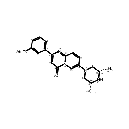 COc1cccc(-c2cc(=O)n3cc(N4C[C@@H](C)N[C@@H](C)C4)ccc3n2)c1